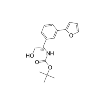 CC(C)(C)OC(=O)N[C@H](CO)c1cccc(-c2ccco2)c1